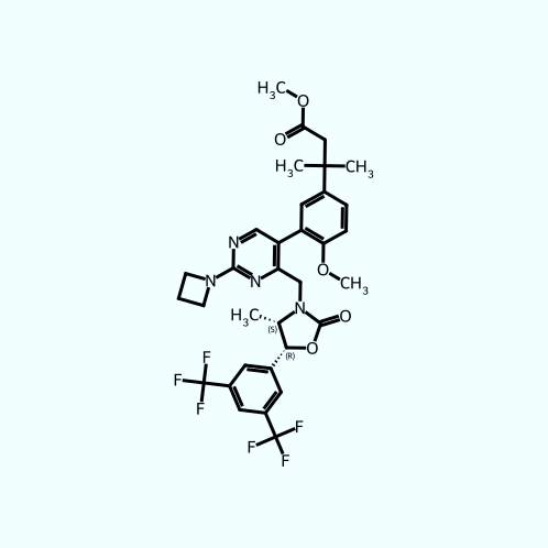 COC(=O)CC(C)(C)c1ccc(OC)c(-c2cnc(N3CCC3)nc2CN2C(=O)O[C@H](c3cc(C(F)(F)F)cc(C(F)(F)F)c3)[C@@H]2C)c1